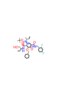 C=CC(C)N(C(=O)OC(C)(C)C)n1cc(C(=O)NCc2ccc(F)cc2F)c(=O)c(OCc2ccccc2)c1C(=O)N[C@@H](C=C)CO